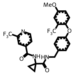 COc1ccc(Oc2ccc(CNC(=O)C3(NC(=O)c4ccnc(C(F)(F)F)c4)CC3)cc2)c(C(F)(F)F)c1